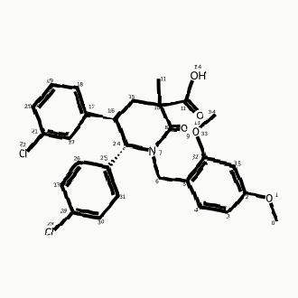 COc1ccc(CN2C(=O)C(C)(C(=O)O)C[C@H](c3cccc(Cl)c3)[C@H]2c2ccc(Cl)cc2)c(OC)c1